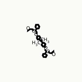 CC(C)(c1ccc(OCC(OCC2CO2)c2ccccc2)cc1)c1ccc(OCC(OCC2CO2)c2ccccc2)cc1